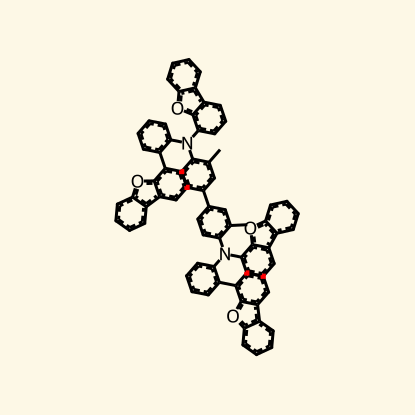 Cc1cc(-c2ccc(N(c3ccccc3-c3cccc4c3oc3ccccc34)c3cccc4c3oc3ccccc34)c(C)c2)ccc1N(c1ccccc1-c1cccc2c1oc1ccccc12)c1cccc2c1oc1ccccc12